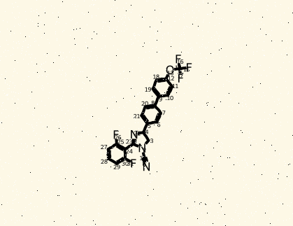 N#CN1CC(c2ccc(-c3ccc(OC(F)(F)F)cc3)cc2)N=C1c1c(F)cccc1F